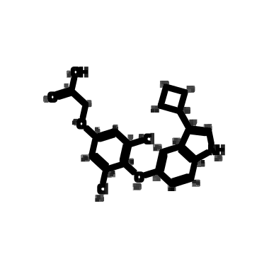 O=C(O)COc1cc(Cl)c(Oc2ccc3[nH]cc(C4CCC4)c3c2)c(Cl)c1